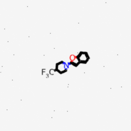 FC(F)(F)C1CCN(c2cc3ccccc3o2)CC1